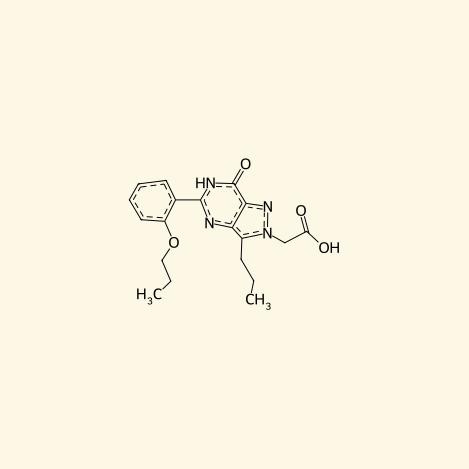 CCCOc1ccccc1-c1nc2c(CCC)n(CC(=O)O)nc2c(=O)[nH]1